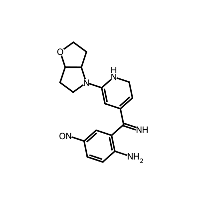 N=C(C1=CCNC(N2CCC3OCCC32)=C1)c1cc(N=O)ccc1N